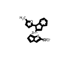 CCC1=CC2C=CC=C2S1.Cc1ccc(C2[C]([Zr+2])=Cc3ccccc32)o1.[Cl-].[Cl-]